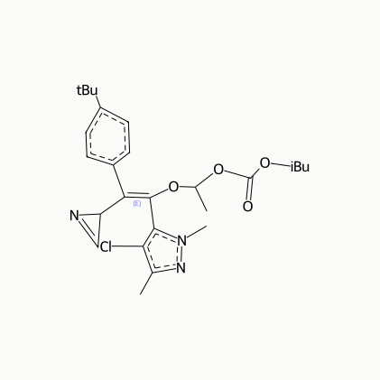 CCC(C)OC(=O)OC(C)O/C(=C(\c1ccc(C(C)(C)C)cc1)C1C=N1)c1c(Cl)c(C)nn1C